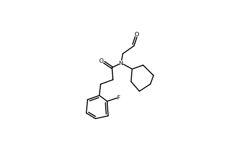 O=CCN(C(=O)CCc1cc[c]cc1F)C1CCCCC1